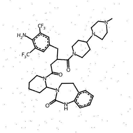 CN1CCN(C2CCN(C(=O)C(CC(=O)N3CCCCC3N3CCc4ccccc4NC3=O)Cc3cc(C(F)(F)F)c(N)c(C(F)(F)F)c3)CC2)CC1